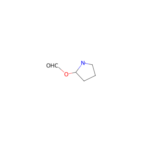 O=COC1CCC[N]1